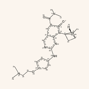 C[C@@H]1C2CC1(n1c(=O)c(C(=O)N(C)C)cc3cnc(Nc4ccc(OCCN(C)C)cc4)nc31)C2